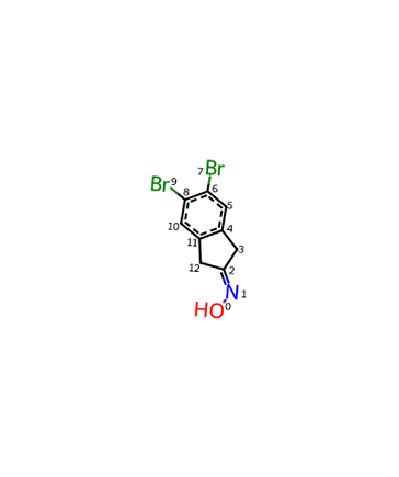 ON=C1Cc2cc(Br)c(Br)cc2C1